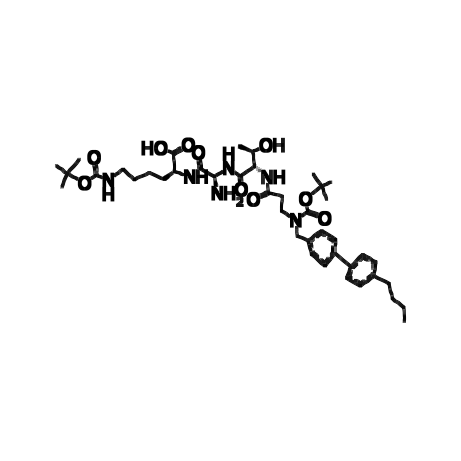 CCCCc1ccc(-c2ccc(CN(CCC(=O)N[C@H](C(=O)N[C@@H](N)C(=O)N[C@@H](CCCCNC(=O)OC(C)(C)C)C(=O)O)[C@@H](C)O)C(=O)OC(C)(C)C)cc2)cc1